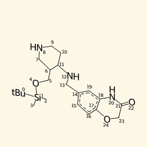 CC(C)(C)[Si](C)(C)OCC1CNCCC1NCc1ccc2c(c1)NC(=O)CO2